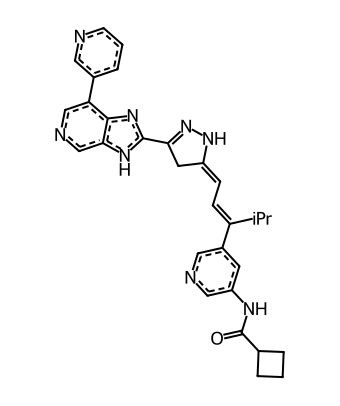 CC(C)/C(=C\C=C1/CC(c2nc3c(-c4cccnc4)cncc3[nH]2)=NN1)c1cncc(NC(=O)C2CCC2)c1